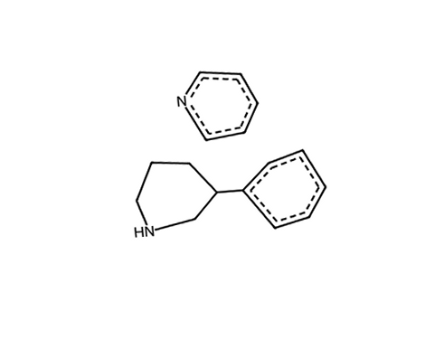 c1ccc(C2CCCNC2)cc1.c1ccncc1